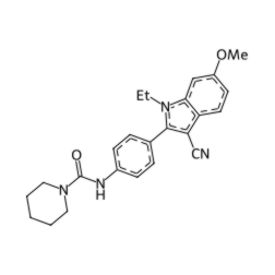 CCn1c(-c2ccc(NC(=O)N3CCCCC3)cc2)c(C#N)c2ccc(OC)cc21